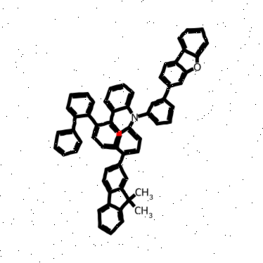 CC1(C)c2ccccc2-c2ccc(-c3ccc(N(c4cccc(-c5ccc6c(c5)oc5ccccc56)c4)c4ccccc4-c4ccccc4-c4ccccc4-c4ccccc4)cc3)cc21